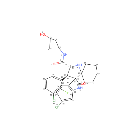 O=C(NC1CC(O)C1)[C@@H]1NC2(CCCCC2)[C@@]2(C(=O)Nc3cc(Cl)ccc32)[C@H]1c1cccc(Cl)c1F